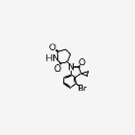 O=C1CCC(N2C(=O)C3(CC3)c3c(Br)cccc32)C(=O)N1